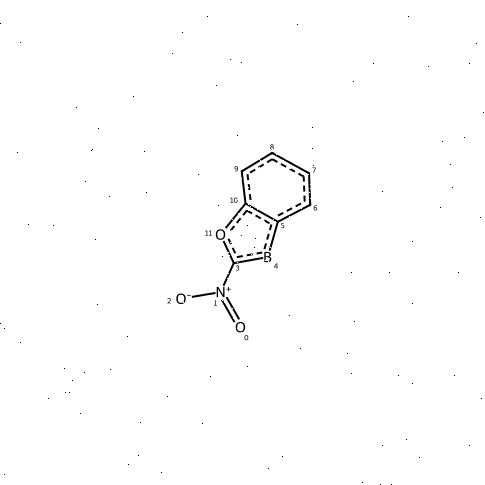 O=[N+]([O-])c1bc2ccccc2o1